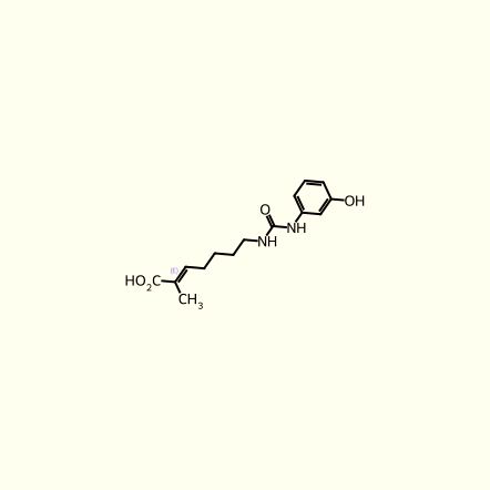 C/C(=C\CCCCNC(=O)Nc1cccc(O)c1)C(=O)O